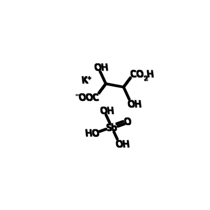 O=C([O-])C(O)C(O)C(=O)O.[K+].[O]=[Sb]([OH])([OH])[OH]